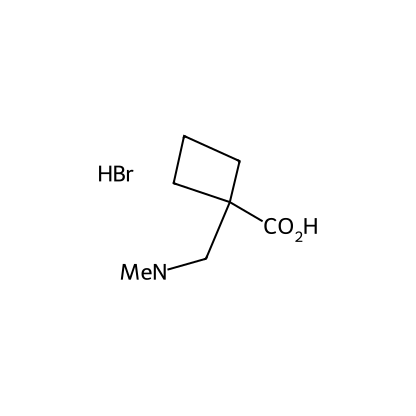 Br.CNCC1(C(=O)O)CCC1